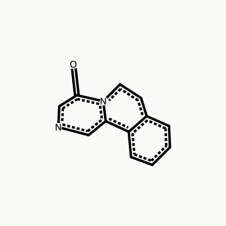 O=c1cncc2c3ccccc3ccn12